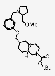 COCC1CCCN1Cc1cccc(OC[C@@H]2CC[C@H]3CN(C(=O)OC(C)(C)C)CCN3C2)c1